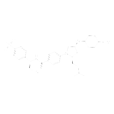 CCS(=O)(=O)c1ccc([C@H](CC#N)NC(=O)c2ccc(N3C[C@@H](NC4CCC(OC)CC4)C[C@H]3COC(F)F)cc2)cc1